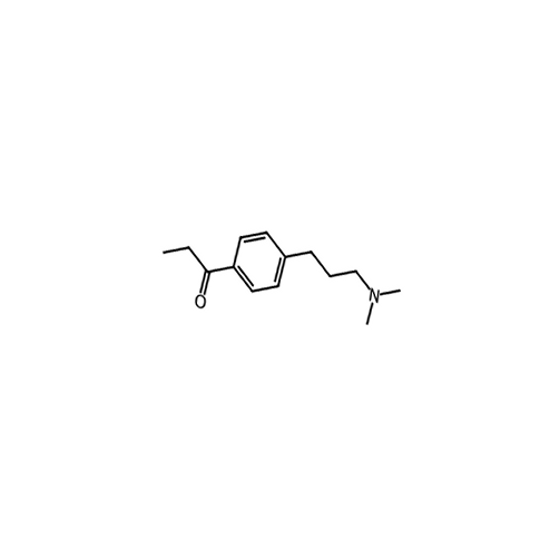 CCC(=O)c1ccc(CCCN(C)C)cc1